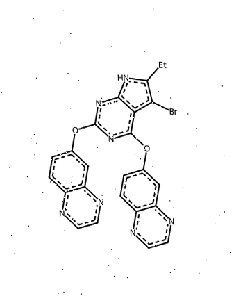 CCc1[nH]c2nc(Oc3ccc4nccnc4c3)nc(Oc3ccc4nccnc4c3)c2c1Br